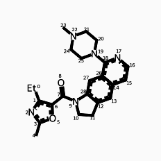 CCc1nc(C)oc1C(=O)N1CCc2cc3ccnc(N4CCN(C)CC4)c3cc21